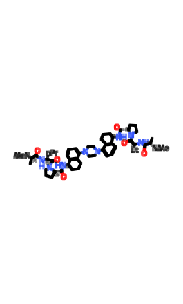 CCC[C@H](NC(=O)[C@H](C)NC)C(=O)N1CCC[C@H]1C(=O)N[C@@H]1CCCc2c1cccc2N1CCN(c2cccc3c2CCC[C@H]3NC(=O)[C@@H]2CCCN2C(=O)[C@H](CC)NC(=O)[C@H](C)NC)CC1